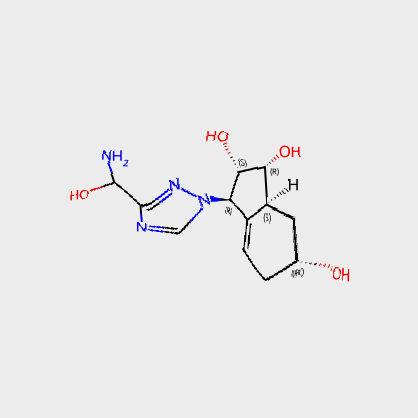 NC(O)c1ncn([C@@H]2C3=CC[C@@H](O)C[C@@H]3[C@@H](O)[C@H]2O)n1